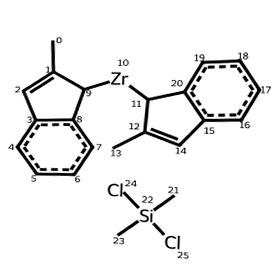 CC1=Cc2ccccc2[CH]1[Zr][CH]1C(C)=Cc2ccccc21.C[Si](C)(Cl)Cl